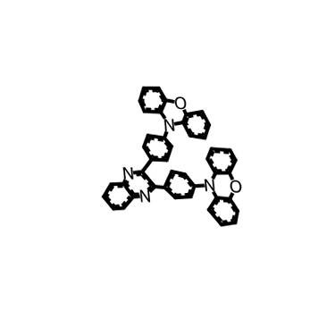 c1ccc2c(c1)Oc1ccccc1N2c1ccc(-c2nc3ccccc3nc2-c2ccc(N3c4ccccc4Oc4ccccc43)cc2)cc1